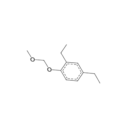 CCc1ccc(OCOC)c(CC)c1